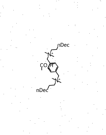 CC(=O)O.CCCCCCCCCCCC[N+](C)(C)Cc1ccc(C[N+](C)(C)CCCCCCCCCCCC)cc1